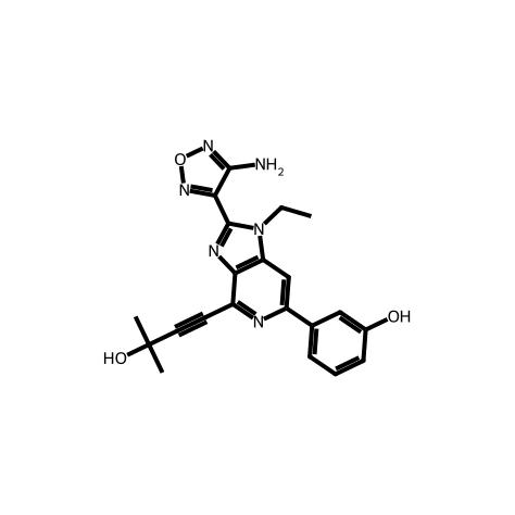 CCn1c(-c2nonc2N)nc2c(C#CC(C)(C)O)nc(-c3cccc(O)c3)cc21